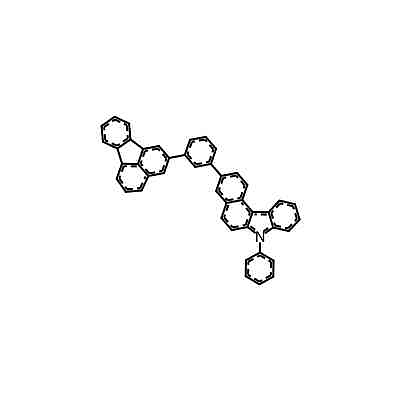 c1ccc(-n2c3ccccc3c3c4ccc(-c5cccc(-c6cc7c8c(cccc8c6)-c6ccccc6-7)c5)cc4ccc32)cc1